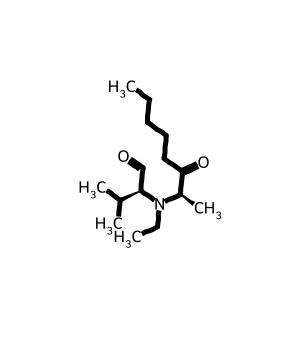 CCCCCC(=O)[C@@H](C)N(CC)[C@H](C=O)C(C)C